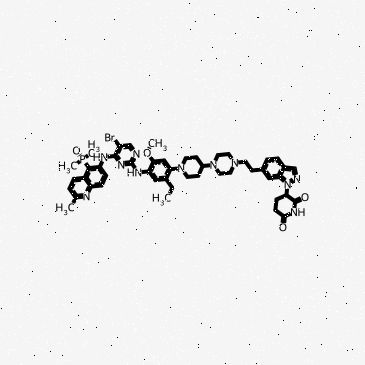 CCc1cc(Nc2ncc(Br)c(Nc3ccc4nc(C)ccc4c3P(C)(C)=O)n2)c(OC)cc1N1CCC(N2CCN(CCc3ccc4cnn(C5CCC(=O)NC5=O)c4c3)CC2)CC1